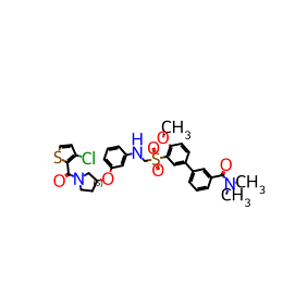 COc1ccc(-c2cccc(C(=O)N(C)C)c2)cc1S(=O)(=O)CNc1cccc(O[C@H]2CCN(C(=O)c3sccc3Cl)C2)c1